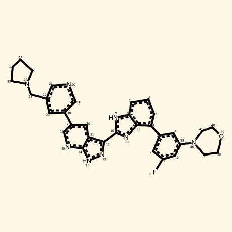 Fc1cc(-c2cccc3[nH]c(-c4n[nH]c5ncc(-c6cncc(CN7CCCC7)c6)cc45)nc23)cc(N2CCOCC2)c1